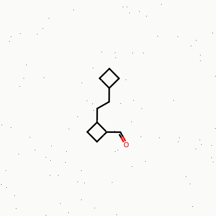 O=CC1CCC1CCC1CCC1